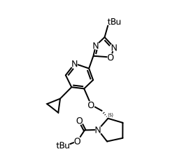 CC(C)(C)OC(=O)N1CCC[C@H]1COc1cc(-c2nc(C(C)(C)C)no2)ncc1C1CC1